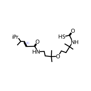 CC(C)C(C)/C=C/C(=O)NCCC(C)(C)OCCC(C)(C)NC(=O)S